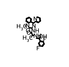 C[C@H](NCC(O)c1cc(F)ccc1F)C(=O)NC1N=C(c2ccccn2)c2ccccc2N(C)C1=O